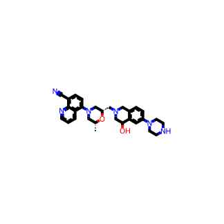 C[C@@H]1CN(c2ccc(C#N)c3ncccc23)C[C@H](CN2Cc3ccc(N4CCNCC4)cc3C(O)C2)O1